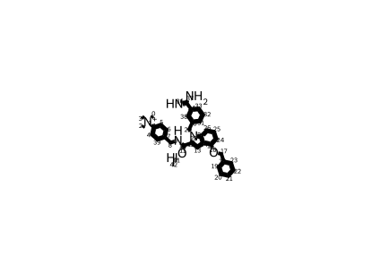 C[N+](C)(C)c1ccc(CNC(=O)c2cc3c(OCc4ccccc4)cccc3n2Cc2cccc(C(=N)N)c2)cc1.I.[I-]